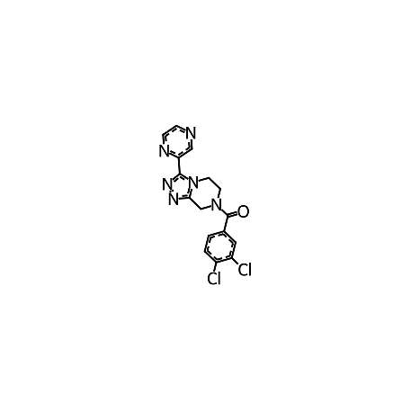 O=C(c1ccc(Cl)c(Cl)c1)N1CCn2c(nnc2-c2cnccn2)C1